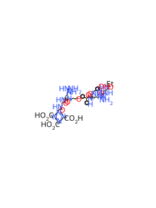 CCC(=O)NCCNC(=O)/N=C(/N)NCCC[C@@H](NC(=O)C(c1ccccc1)c1cccc(OCCCCNC(=O)[C@@H](CCCNC(=N)N)NC(=O)CCNC(=O)CN2CCN(CC(=O)O)CCN(CC(=O)O)CCN(CC(=O)O)CC2)c1)C(=O)NCc1ccc(O)cc1